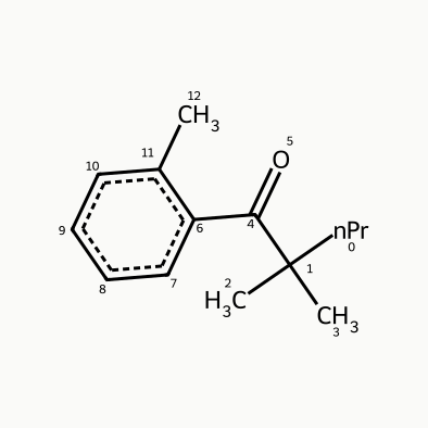 CCCC(C)(C)C(=O)c1ccccc1C